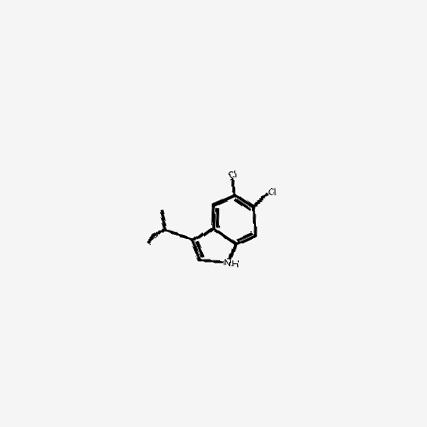 CC(C)c1c[nH]c2cc(Cl)c(Cl)cc12